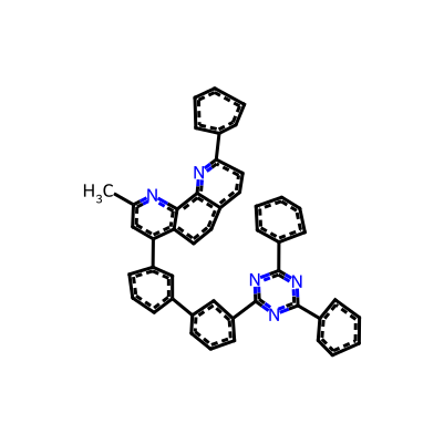 Cc1cc(-c2cccc(-c3cccc(-c4nc(-c5ccccc5)nc(-c5ccccc5)n4)c3)c2)c2ccc3ccc(-c4ccccc4)nc3c2n1